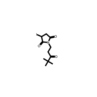 CC(C)(C)C(=O)CCN1C(=O)CC(I)C1=O